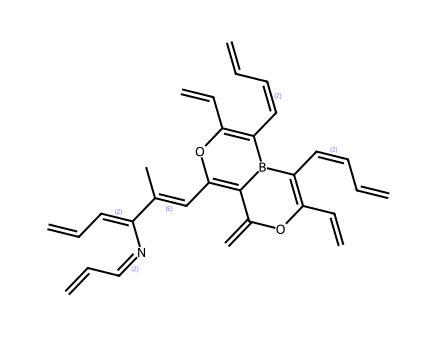 C=C/C=C\C1=C(C=C)OC(=C)C2=C(/C=C(C)/C(=C/C=C)/N=C\C=C)OC(C=C)=C(/C=C\C=C)B12